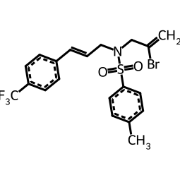 C=C(Br)CN(CC=Cc1ccc(C(F)(F)F)cc1)S(=O)(=O)c1ccc(C)cc1